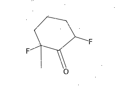 CC1(F)CCCC(F)C1=O